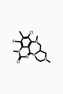 Cc1c(Cl)c2c3c(nc(=O)n(C)c3c1F)N1CCN(C)CC1CN2C